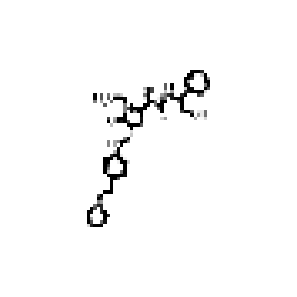 CCN1C(=O)[C@@H](CNc2ccc(CCN3CCCC3)cc2)S/C1=C(/N)C(=O)NC(CO)c1ccccc1